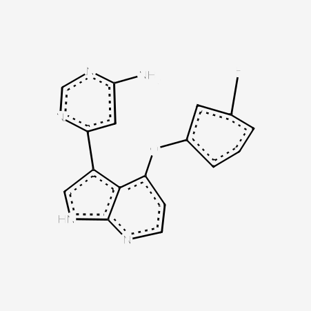 Nc1cc(-c2c[nH]c3nccc(Oc4cccc(F)c4)c23)ncn1